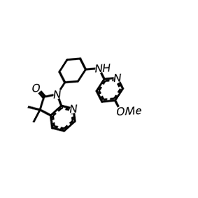 COc1ccc(NC2CCCC(N3C(=O)C(C)(C)c4cccnc43)C2)nc1